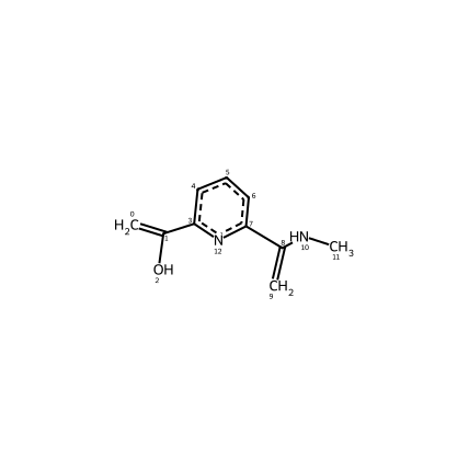 C=C(O)c1cccc(C(=C)NC)n1